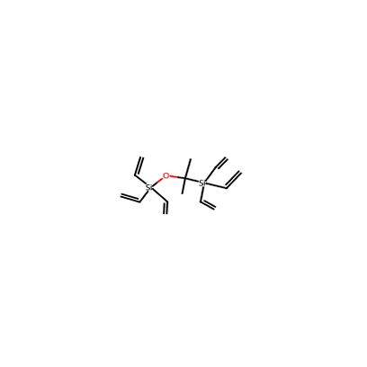 C=C[Si](C=C)(C=C)OC(C)(C)[Si](C=C)(C=C)C=C